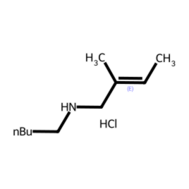 C/C=C(\C)CNCCCCC.Cl